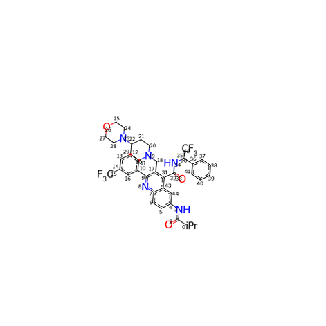 CC(C)C(=O)Nc1ccc2nc(-c3cccc(C(F)(F)F)c3)c(CN3CCC(N4CCOCC4)CC3)c(C(=O)N[C@H](c3ccccc3)C(F)(F)F)c2c1